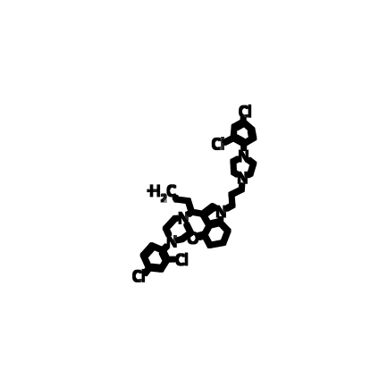 [CH2]CCC(c1cn(CCCN2CCN(c3ccc(Cl)cc3Cl)CC2)c2c1C(=O)CCC2)N1CCN(c2ccc(Cl)cc2Cl)CC1